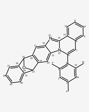 Cc1cc(C)c(-c2cc3ccccc3c3nc4cc5c(cc4n23)C2OC5c3ccccc32)c(C)c1